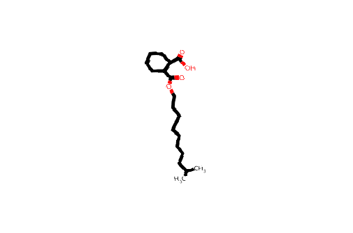 CC(C)CCCCCCCCOC(=O)C1CCCCC1C(=O)O